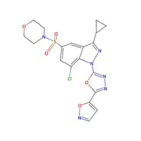 O=S(=O)(c1cc(Cl)c2c(c1)c(C1CC1)nn2-c1nnc(-c2ccno2)o1)N1CCOCC1